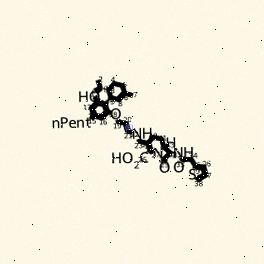 C=C(C)[C@@H]1CCC(C)=C[C@H]1c1c(O)cc(CCCCC)cc1OC/C=C/NCC1=C(C(=O)O)N2C(=O)[C@@H](NC(=O)Cc3cccs3)[C@H]2CC1